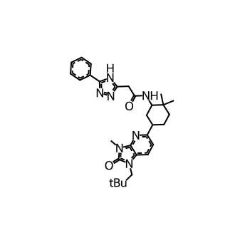 Cn1c(=O)n(CC(C)(C)C)c2ccc(C3CCC(C)(C)C(NC(=O)Cc4nnc(-c5ccccc5)[nH]4)C3)nc21